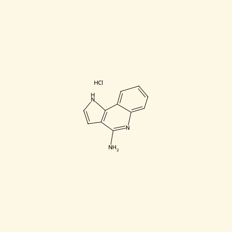 Cl.Nc1nc2ccccc2c2[nH]ccc12